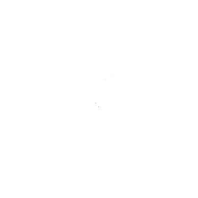 Cc1c(N(CCCC(F)(F)F)S(=O)(=O)c2ccccc2)sc2ccccc12